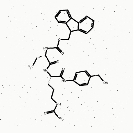 CC[C@H](NC(=O)OCC1c2ccccc2-c2ccccc21)C(=O)N[C@@H](CCCNC(N)=O)C(=O)Nc1ccc(CO)cc1